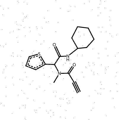 C#CC(=O)N(C)C(C(=O)NC1CCCCC1)c1cccs1